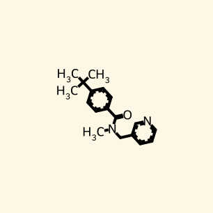 CN(Cc1cccnc1)C(=O)c1ccc(C(C)(C)C)cc1